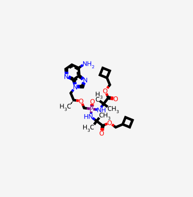 C[C@H](Cn1cnc2c(N)ccnc21)OCP(=O)(NC(C)(C)C(=O)OCC1CCC1)NC(C)(C)C(=O)OCC1CCC1